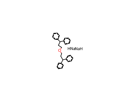 [NaH].[NaH].c1ccc(C(CCOCCC(c2ccccc2)c2ccccc2)c2ccccc2)cc1